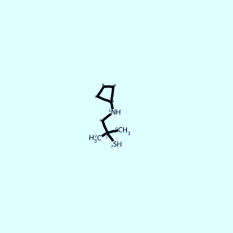 CC(C)(S)CNC1CCC1